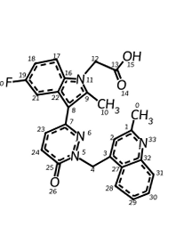 Cc1cc(Cn2nc(-c3c(C)n(CC(=O)O)c4ccc(F)cc34)ccc2=O)c2ccccc2n1